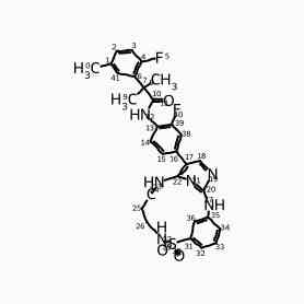 Cc1ccc(F)c(C(C)(C)C(=O)Nc2ccc(-c3cnc4nc3NCCCNS(=O)(=O)c3cccc(c3)N4)cc2F)c1